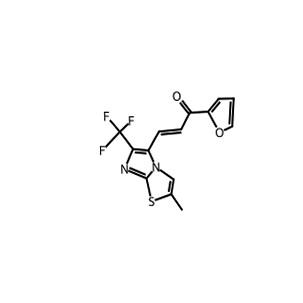 Cc1cn2c(C=CC(=O)c3ccco3)c(C(F)(F)F)nc2s1